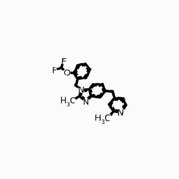 Cc1cc(Cc2ccc3c(c2)nc(C)n3Cc2ccccc2OC(F)F)ccn1